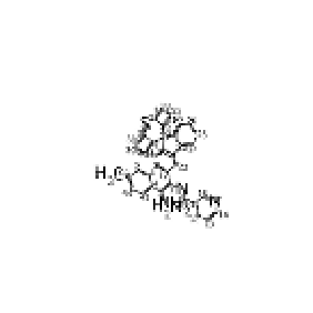 Cc1ccc(/C(N)=C(/N=C(\N)c2cccnc2)c2ccc3c(c2)-c2ccccc2C32c3ccccc3Sc3ccccc32)cc1